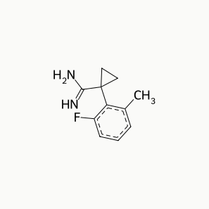 Cc1cccc(F)c1C1(C(=N)N)CC1